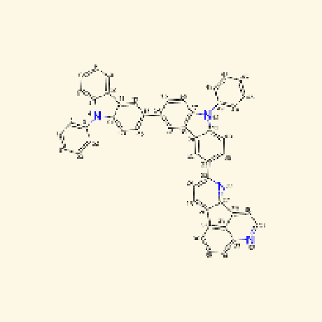 c1ccc(-n2c3ccccc3c3cc(-c4ccc5c(c4)c4cc(-c6ccc7c(n6)-c6ccnc8cccc-7c68)ccc4n5-c4ccccc4)ccc32)cc1